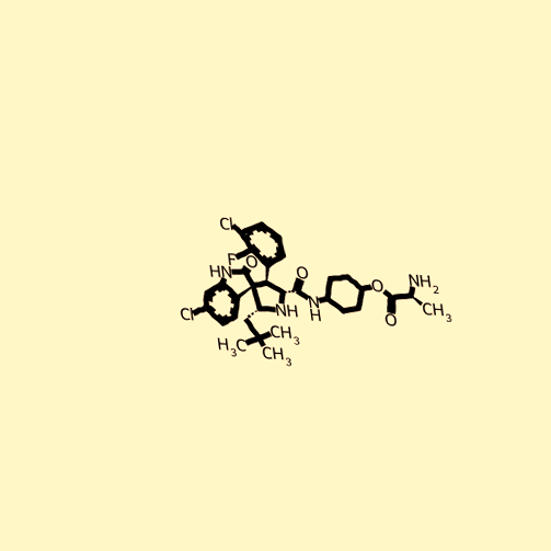 C[C@H](N)C(=O)OC1CCC(NC(=O)[C@@H]2N[C@H](CC(C)(C)C)[C@]3(C(=O)Nc4cc(Cl)ccc43)[C@H]2c2cccc(Cl)c2F)CC1